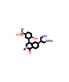 CC[SiH](O)c1ccc(O)c(-c2cn(C)c(=O)c3ccc(/C(C=N)=C/NC)cc23)c1